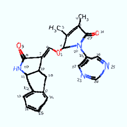 CC1=C(C)C(O/C=C2/C(=O)NC3c4ccccc4CC23)N(c2cncnc2)C1=O